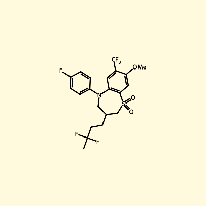 COc1cc2c(cc1C(F)(F)F)N(c1ccc(F)cc1)CC(CCC(C)(F)F)CS2(=O)=O